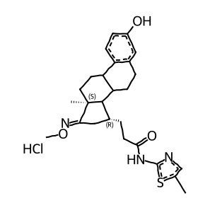 CON=C1C[C@@H](CCC(=O)Nc2ncc(C)s2)C2C3CCc4cc(O)ccc4C3CC[C@]12C.Cl